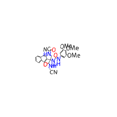 COc1cc(NC(=O)NC(CNC(=O)C#N)(C(=O)NCC#N)c2ccc3ccccc3c2)cc(OC)c1OC